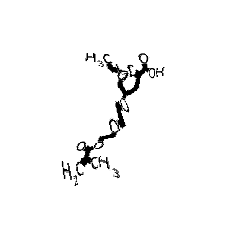 C=C(C)C(=O)OCCOCCOC(COCC)CC(=C)C(=O)O